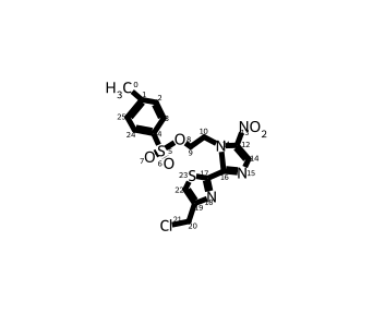 Cc1ccc(S(=O)(=O)OCCn2c([N+](=O)[O-])cnc2-c2nc(CCl)cs2)cc1